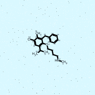 CNCCCCOc1c(C(C)C)cc(Cl)c(C)c1Cc1ccccc1